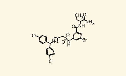 CC[C@H](NC(=O)c1cc(Br)cc(NS(=O)(=O)CC2CN(C(c3ccc(Cl)cc3)c3ccc(Cl)cc3)C2)c1)C(N)=O